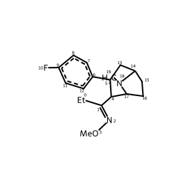 CCC(=NOC)C1C(c2ccc(F)cc2)CC2CCC1N2C